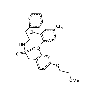 COCCOc1ccc(CS(=O)(=O)NCCc2ccccn2)c(Oc2ncc(C(F)(F)F)cc2Cl)c1